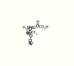 Cc1ccn(-c2cc(-c3ccc4nnccc4c3)ccc2C(Oc2cc(N3CCC4(CC3)CNC(C(=O)O)C4)nc(N)n2)C(F)(F)F)n1